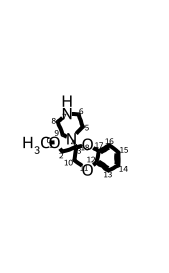 COCC1(N2CCNCC2)COc2ccccc2O1